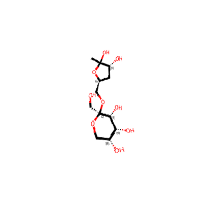 CC1(O)O[C@H](CO[C@]2(CO)OC[C@@H](O)[C@@H](O)[C@H]2O)C[C@H]1O